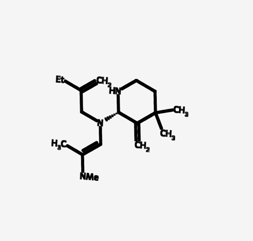 C=C(CC)CN(/C=C(\C)NC)[C@@H]1NCCC(C)(C)C1=C